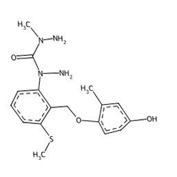 CSc1cccc(N(N)C(=O)N(C)N)c1COc1ccc(O)cc1C